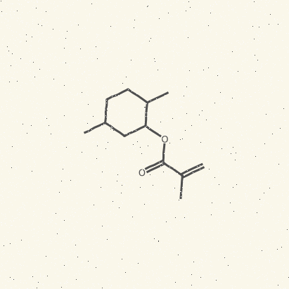 C=C(C)C(=O)OC1CC(C)CCC1C